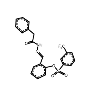 O=C(Cc1ccccc1)NN=Cc1ccccc1OS(=O)(=O)c1cccc(C(F)(F)F)c1